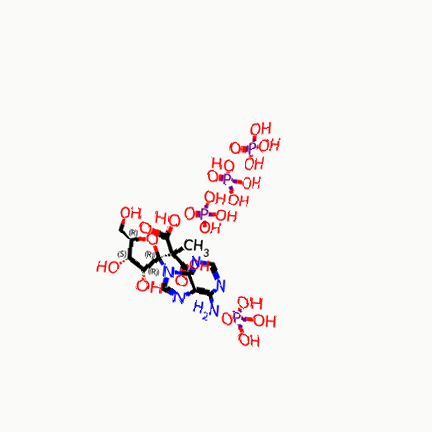 CC(C(=O)O)(C(=O)O)[C@@]1(n2cnc3c(N)ncnc32)O[C@H](CO)[C@@H](O)[C@H]1O.O=P(O)(O)O.O=P(O)(O)O.O=P(O)(O)O.O=P(O)(O)O